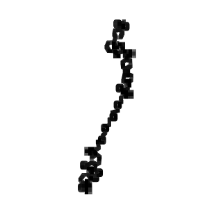 CS(=O)(=O)c1ccc(-c2cccc3nc(Nc4ccc(N5CCN(CC(=O)NCCOCCOCCOCCOCCNc6ccc7c(c6)C(=O)N(C6CCC(=O)NC6=O)C7=O)CC5)cc4)nn23)cc1